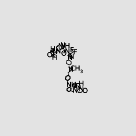 CN(CCc1ccc(CNc2cccc3c2C(=O)N(C2CCC(=O)NC2=O)C3)cc1)C[C@H]1CC[C@H](n2cc(NC(=O)c3cnn4ccc(N5C[C@H]6C[C@@H]5CO6)nc34)c(C(F)F)n2)CC1